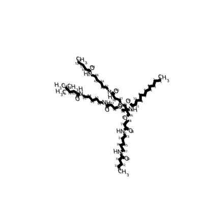 CCCCCCCCCCCCC(=O)NC(COCCC(=O)NCCCCCNC(=O)CCCC)(COCCC(=O)NCCCCCNC(=O)CCCC)COCCC(=O)NCCCCCNC(=O)CCC(C)(C)C